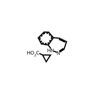 C1=Cc2ccccc2NN=C1.O=C(O)C1CC1